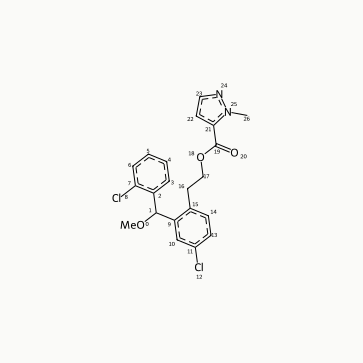 COC(c1ccccc1Cl)c1cc(Cl)ccc1CCOC(=O)c1ccnn1C